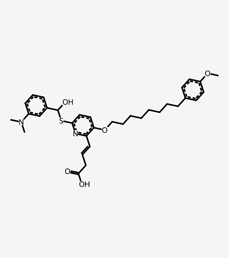 COc1ccc(CCCCCCCCOc2ccc(SC(O)c3cccc(N(C)C)c3)nc2C=CCC(=O)O)cc1